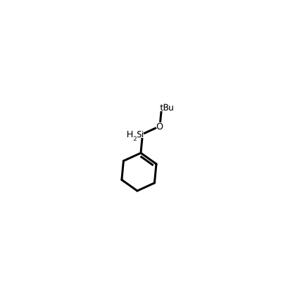 CC(C)(C)O[SiH2]C1=CCCCC1